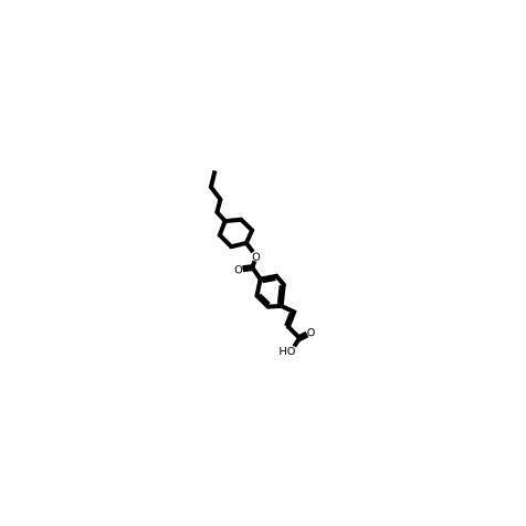 CCCCC1CCC(OC(=O)c2ccc(C=CC(=O)O)cc2)CC1